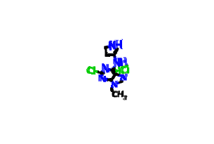 CCn1cnc2c(N[C@H]3CCNC3)nc(Cl)nc21.Cl